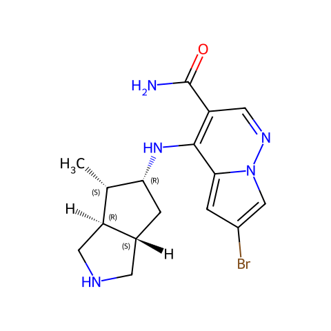 C[C@H]1[C@@H]2CNC[C@H]2C[C@H]1Nc1c(C(N)=O)cnn2cc(Br)cc12